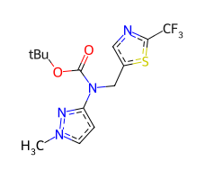 Cn1ccc(N(Cc2cnc(C(F)(F)F)s2)C(=O)OC(C)(C)C)n1